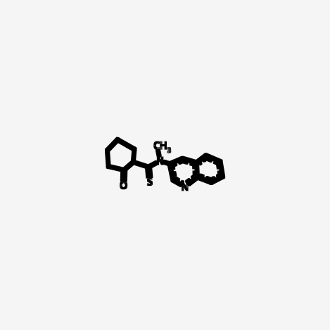 CN(C(=S)C1CCCCC1=O)c1cnc2ccccc2c1